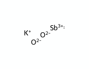 [K+].[O-2].[O-2].[Sb+3]